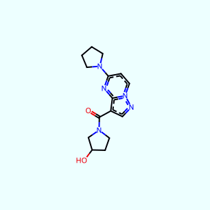 O=C(c1cnn2ccc(N3CCCC3)nc12)N1CCC(O)C1